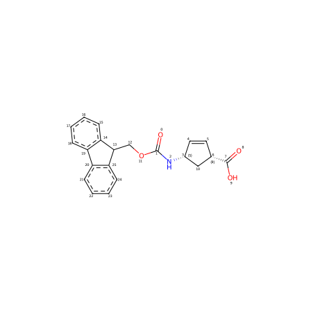 O=C(N[C@@H]1C=C[C@H](C(=O)O)C1)OCC1c2ccccc2-c2ccccc21